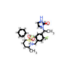 CC(c1cc(F)c(CN2[C@@H](C)CC[C@H](c3ccccc3)S2(=O)=O)cc1F)n1cc[nH]c1=O